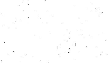 CCCC#C[Si](C)(C)Cl